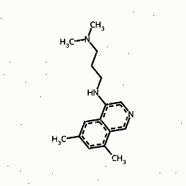 Cc1cc(C)c2cncc(NCCCN(C)C)c2c1